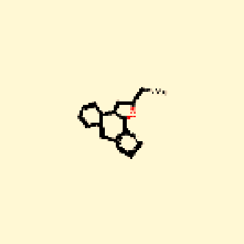 CNCC1CC2C3C=CC=CC3=Cc3ccccc3C2O1